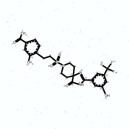 CC(=O)c1ccc(CCS(=O)(=O)N2CCC3(CC2)N=C(c2cc(O)cc(C(F)(F)F)c2)NC3=O)c(C)c1